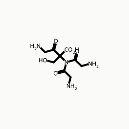 NCC(=O)N(C(=O)CN)C(CO)(C(=O)O)C(=O)CN